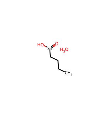 CCC[CH2][Sn](=[O])[OH].O